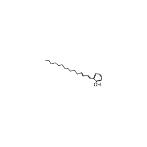 CCCCCCCCCCCC=CC=Cc1ccccc1O